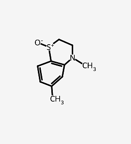 Cc1ccc2c(c1)N(C)CC[S+]2[O-]